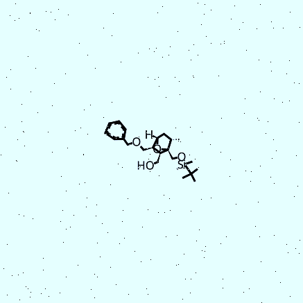 C[C@H]1C[C@@H]2O[C@@]1(CO[Si](C)(C)C(C)(C)C)[C@@H](CO)[C@H]2COCc1ccccc1